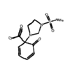 CNS(=O)(=O)N1CCN(C2(C(=O)Cl)C=CC=CC2=O)C1